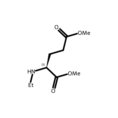 CCN[C@@H](CCC(=O)OC)C(=O)OC